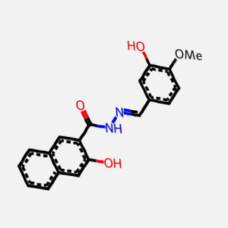 COc1ccc(/C=N/NC(=O)c2cc3ccccc3cc2O)cc1O